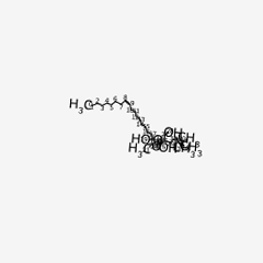 CCCCCCCC/C=C\CCCCCCCCC(O)(CC)OP(=O)(O)C(CO)CC[N+](C)(C)C